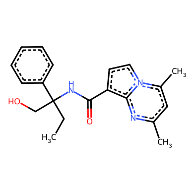 CCC(CO)(NC(=O)c1ccn2c(C)cc(C)nc12)c1ccccc1